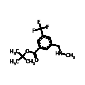 CNCc1cc(C(=O)OC(C)(C)C)cc(C(F)(F)F)c1